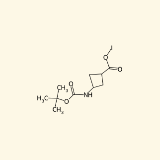 CC(C)(C)OC(=O)NC1CC(C(=O)OI)C1